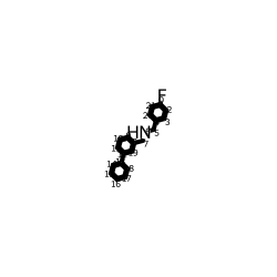 Fc1ccc(CNCc2cccc(-c3ccccc3)c2)cc1